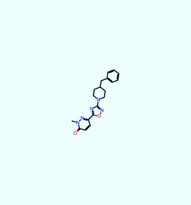 Cn1nc(-c2nc(N3CCC(Cc4ccccc4)CC3)no2)ccc1=O